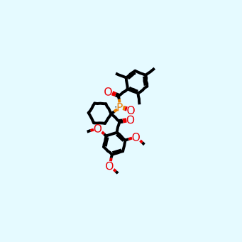 COc1cc(OC)c(C(=O)C2([P](=O)C(=O)c3c(C)cc(C)cc3C)CCCCC2)c(OC)c1